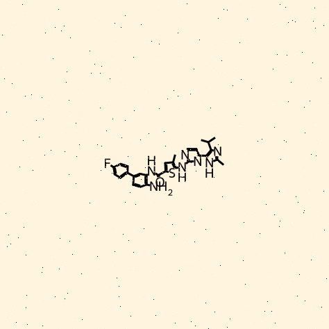 Cc1nc(C(C)C)c(-c2ccnc(Nc3sc(C(=O)Nc4cc(-c5ccc(F)cc5)ccc4N)cc3C)n2)[nH]1